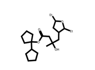 CCC1CC(CC(C)(O)CC(=O)OC2(C3CCCC3)CCCC2)C(CC)O1